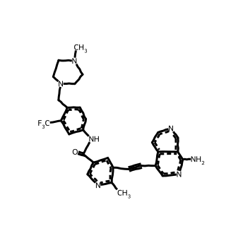 Cc1ncc(C(=O)Nc2ccc(CN3CCN(C)CC3)c(C(F)(F)F)c2)cc1C#Cc1cnc(N)c2cnccc12